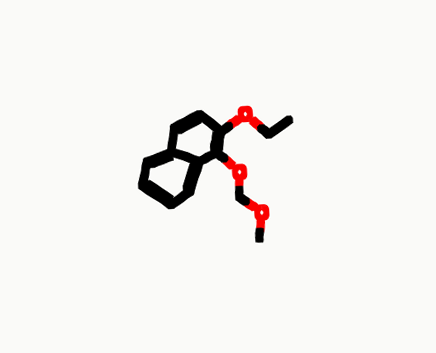 CCOc1ccc2ccccc2c1OCOC